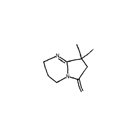 C=C1CC(C)(C)C2=NCCCN12